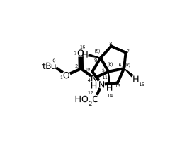 CC(C)(C)OC(=O)N[C@H]1[C@@H]2CC[C@H]1CN(C(=O)O)C2